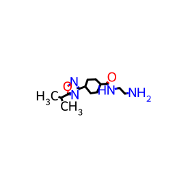 CC(C)c1nc(C2CCC(C(=O)NCCN)CC2)no1